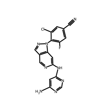 N#Cc1cc(F)c(-n2ncc3cnc(Nc4cc(N)ncn4)cc32)c(Cl)c1